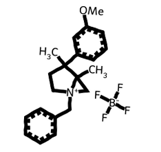 COc1cccc(C2(C)CC[N+]3(Cc4ccccc4)CC23C)c1.F[B-](F)(F)F